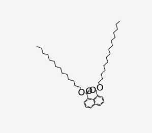 CCCCCCCCCCCCCCCCOC(=O)c1cccc2cccc(C(=O)OCCCCCCCCCCCCCC)c12